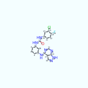 O=C(Nc1cccc(Nc2ncnc3[nH]ncc23)c1)Nc1ccc(F)c(Cl)c1